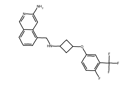 Nc1cc2c(CNC3CC(Oc4ccc(F)c(C(F)(F)F)c4)C3)cccc2cn1